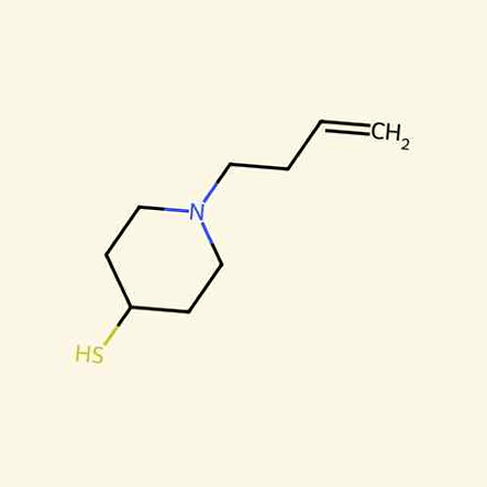 C=CCCN1CCC(S)CC1